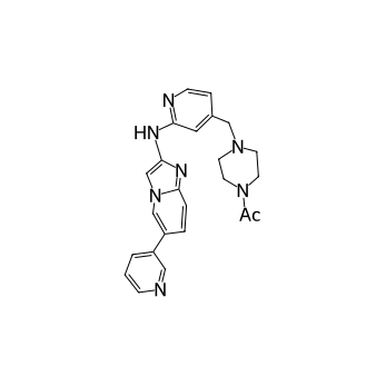 CC(=O)N1CCN(Cc2ccnc(Nc3cn4cc(-c5cccnc5)ccc4n3)c2)CC1